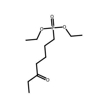 CCOP(=O)(CCCCC(=O)CC)OCC